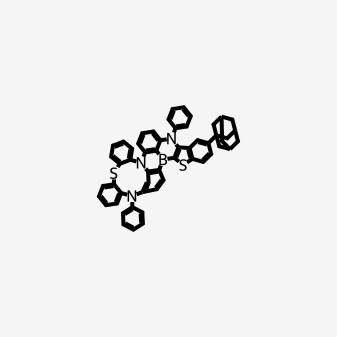 c1ccc(N2c3ccc4c(c3)N(c3ccccc3Sc3ccccc32)c2cccc3c2B4c2sc4ccc(C56CC7CC(CC(C7)C5)C6)cc4c2N3c2ccccc2)cc1